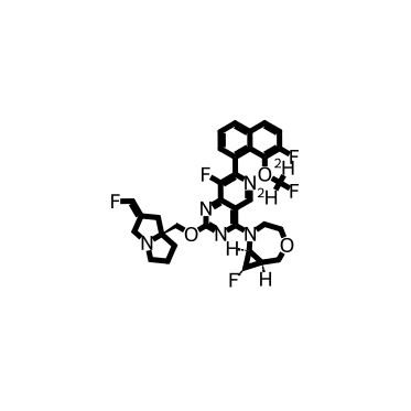 [2H]C([2H])(F)Oc1c(F)ccc2cccc(-c3ncc4c(N5CCOC[C@H]6[C@H](F)[C@H]65)nc(OC[C@@]56CCCN5C/C(=C\F)C6)nc4c3F)c12